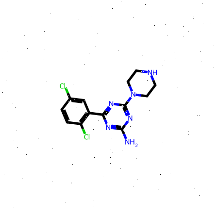 Nc1nc(-c2cc(Cl)ccc2Cl)nc(N2CCNCC2)n1